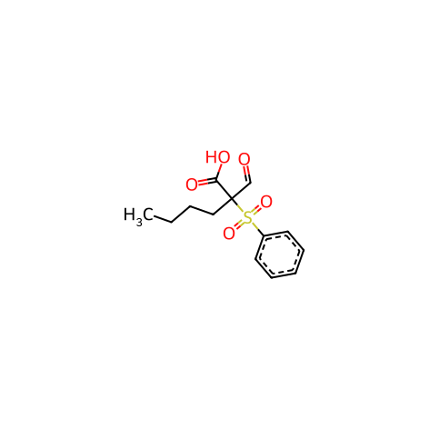 CCCCC(C=O)(C(=O)O)S(=O)(=O)c1ccccc1